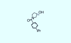 CC(C)c1ccc(C(=O)N2CC[C@H](O)C2)cc1